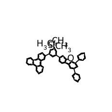 C[Si](C)(C)c1cc(-c2ccc3c(c2)oc2c(-c4ccccc4)cc(-c4ccccc4)cc23)cc(-c2ccc3c4ccccc4c4ccccc4c3c2)c1